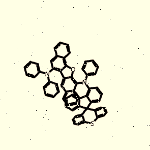 c1ccc(N(c2cccc3c2-c2ccccc2C32c3ccccc3Sc3ccccc32)c2c3ccccc3cc3c2oc2c4ccccc4cc(N(c4ccccc4)c4ccccc4)c32)cc1